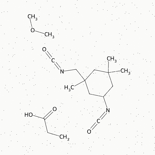 CC1(C)CC(N=C=O)CC(C)(CN=C=O)C1.CCC(=O)O.COC